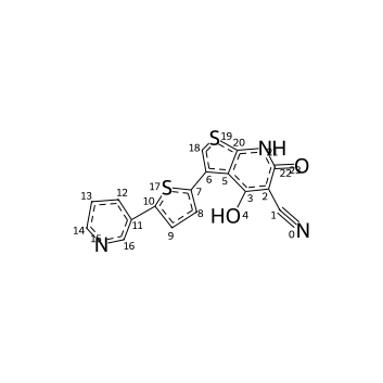 N#Cc1c(O)c2c(-c3ccc(-c4cccnc4)s3)csc2[nH]c1=O